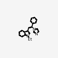 CCn1cc(C=C(c2ccccc2)n2ccnc2)c2ccccc21